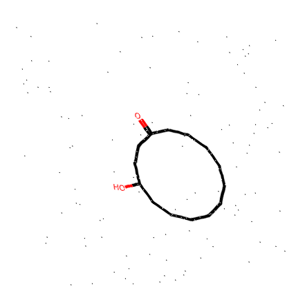 O=C1CCCCCCCCCCC(O)CC1